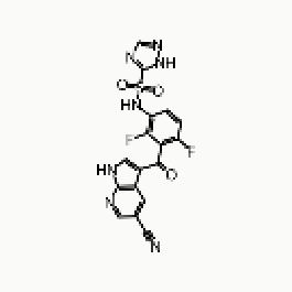 N#Cc1cnc2[nH]cc(C(=O)c3c(F)ccc(NS(=O)(=O)c4ncn[nH]4)c3F)c2c1